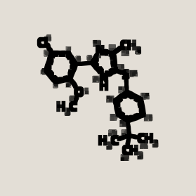 COc1ccc(Cl)cc1-c1nc(C)c(Sc2ccc(C(C)(C)C)cc2)[nH]1